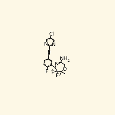 CC1(C)OCC(N)=N[C@](C)(c2cc(C#Cc3ncc(Cl)cn3)ccc2F)C1(F)F